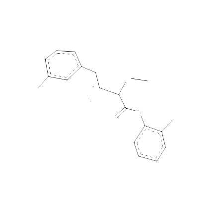 Cc1cccc(C[C@@H](N)C(OC(C)C)C(=O)Nc2ccccc2C)c1